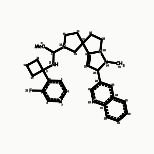 COC(NC1(c2ccncc2F)CCC1)N1CCC2(CCN3C2=CC(c2cnc4ccccc4c2)N3C)C1